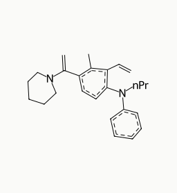 C=Cc1c(N(CCC)c2ccccc2)ccc(C(=C)N2CCCCC2)c1C